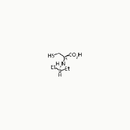 CCBCC.N[C@@H](CS)C(=O)O